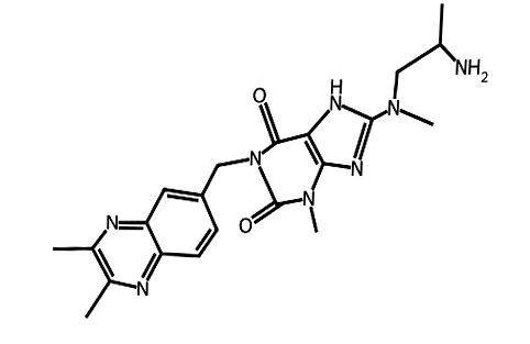 Cc1nc2ccc(Cn3c(=O)c4[nH]c(N(C)CC(C)N)nc4n(C)c3=O)cc2nc1C